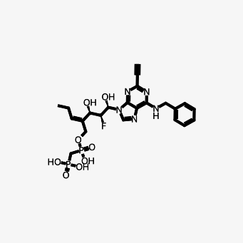 C#Cc1nc(NCc2ccccc2)c2ncn([C@H](O)[C@@H](F)[C@H](O)/C(=C\CC)COP(=O)(O)CP(=O)(O)O)c2n1